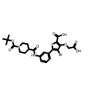 CC(C)(C)OC(=O)N1CCC(C(=O)Nc2cccc(-c3sc(C(=O)O)c(OCC(=O)O)c3Br)c2)CC1